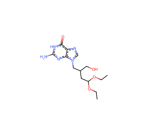 CCOC(CC(CO)Cn1cnc2c(=O)[nH]c(N)nc21)OCC